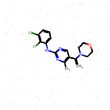 C=C(c1cnc(Nc2cccc(Cl)c2Cl)nc1C(F)(F)F)N1CCOCC1